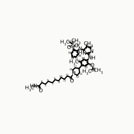 CNC(=O)CCCCCCCCCC(=O)N1CCC(c2cc(OC(C)C)c(Nc3ncc(C)c(Nc4ccccc4S(=O)(=O)C(C)C)n3)cc2C)CC1